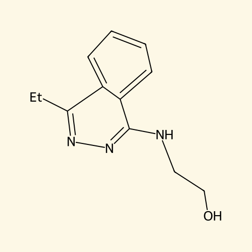 CCc1nnc(NCCO)c2ccccc12